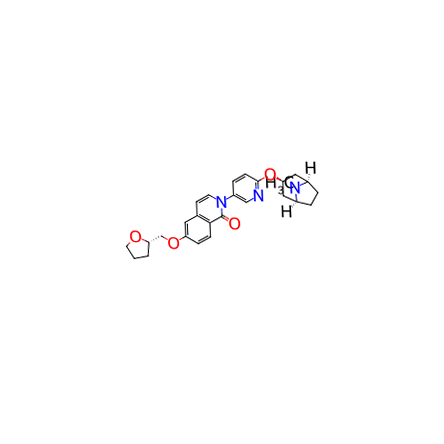 CN1[C@@H]2CC[C@H]1C[C@@H](Oc1ccc(-n3ccc4cc(OC[C@@H]5CCCO5)ccc4c3=O)cn1)C2